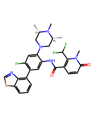 C[C@@H]1CN(c2cc(F)c(-c3cccc4scnc34)cc2NC(=O)c2ccc(=O)n(C)c2C(F)F)C[C@H](C)N1C